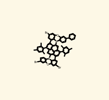 Cc1cc(C)c(-c2cc3c4c(cc5c(-c6c(C)cc(C)cc6C)cc6c7c(cc2c4c57)B2c4ccc(-c5ccccc5)cc4Oc4cc(Br)cc-6c42)B2c4ccc(Br)cc4Oc4cc(Br)cc-3c42)c(C)c1